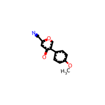 COc1ccc(-c2coc(C#N)cc2=O)cc1